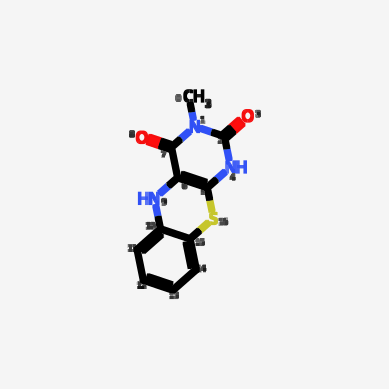 Cn1c(=O)[nH]c2c(c1=O)Nc1ccccc1S2